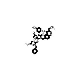 C=CCN(C(=O)NCc1ccccc1)N1CC(=O)N2[C@@H](c3cccc(O)c3)C(=O)N(Cc3ccc4c(c3)C(C)C(CC)N=N4)C[C@@H]21